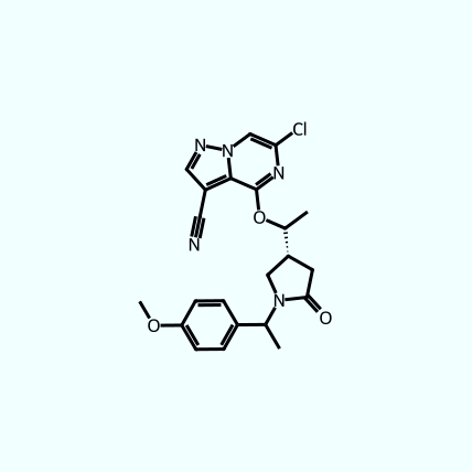 COc1ccc(C(C)N2C[C@H](C(C)Oc3nc(Cl)cn4ncc(C#N)c34)CC2=O)cc1